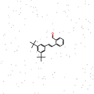 CC(C)(C)c1cc(C=Cc2ccccc2C=O)cc(C(C)(C)C)c1